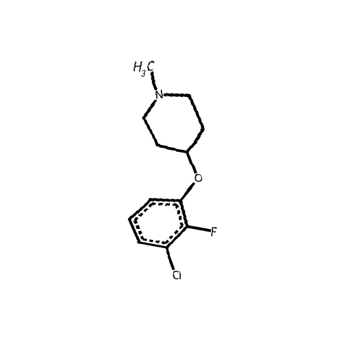 CN1CCC(Oc2cccc(Cl)c2F)CC1